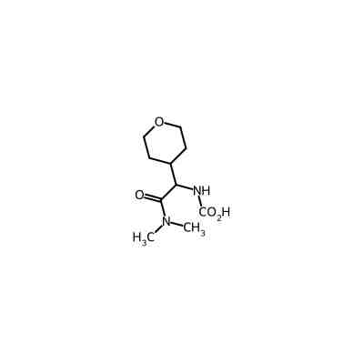 CN(C)C(=O)C(NC(=O)O)C1CCOCC1